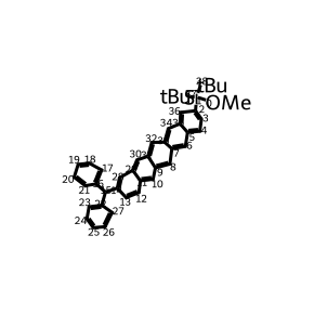 CO[Si](c1ccc2cc3cc4cc5ccc(C(c6ccccc6)c6ccccc6)cc5cc4cc3cc2c1)(C(C)(C)C)C(C)(C)C